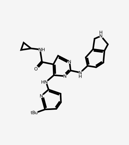 CC(C)(C)c1cccc(Nc2nc(Nc3ccc4c(c3)CNC4)ncc2C(=O)NC2CC2)n1